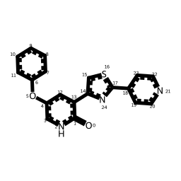 O=c1[nH]cc(Oc2ccccc2)cc1-c1csc(-c2ccncc2)n1